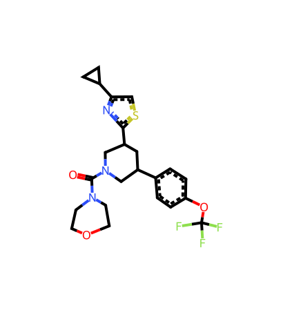 O=C(N1CCOCC1)N1CC(c2ccc(OC(F)(F)F)cc2)CC(c2nc(C3CC3)cs2)C1